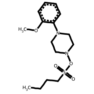 CCCCS(=O)(=O)ON1CCN(c2ccccc2OC)CC1